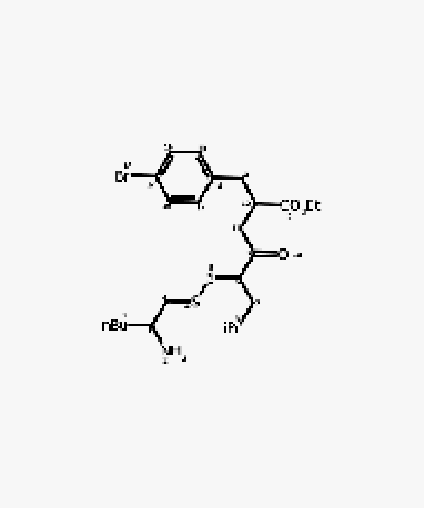 CCCCC(N)CSSC(CC(C)C)C(=O)CC(Cc1ccc(Br)cc1)C(=O)OCC